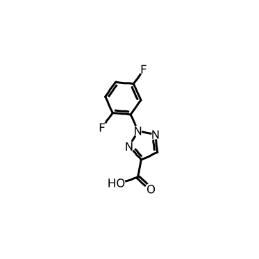 O=C(O)c1cnn(-c2cc(F)ccc2F)n1